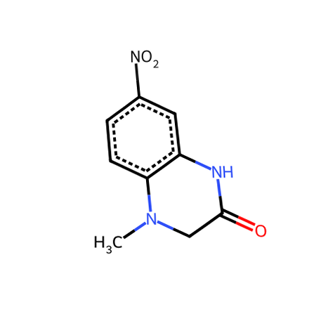 CN1CC(=O)Nc2cc([N+](=O)[O-])ccc21